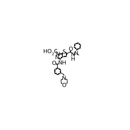 CN(NC(=O)c1cc2c(NC(=O)c3cccc(CN4CCOCC4)c3)nn(C(=O)O)c2s1)c1ccccc1